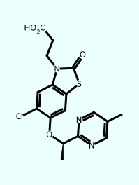 Cc1cnc([C@@H](C)Oc2cc3sc(=O)n(CCC(=O)O)c3cc2Cl)nc1